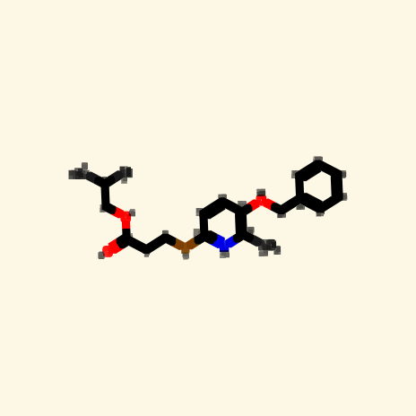 CCCCC(CC)COC(=O)CCSc1ccc(OCc2ccccc2)c([N+](=O)[O-])n1